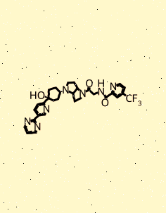 O=C(NCC(=O)N1CCC2C1CCN2[C@H]1CC[C@@](O)(c2ccc(-c3ncccn3)cn2)CC1)c1cc(C(F)(F)F)ccn1